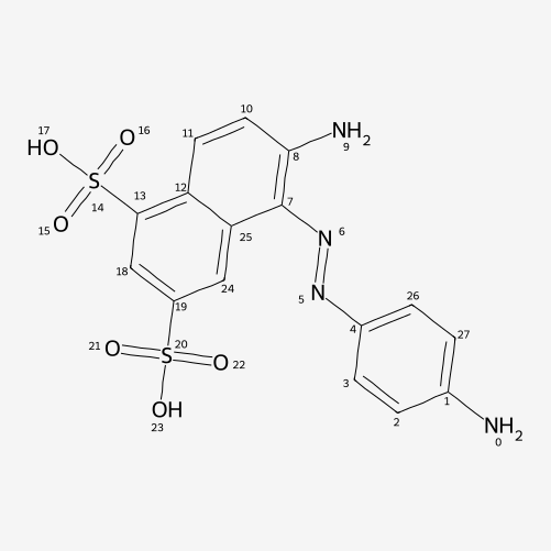 Nc1ccc(N=Nc2c(N)ccc3c(S(=O)(=O)O)cc(S(=O)(=O)O)cc23)cc1